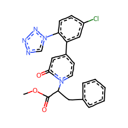 COC(=O)C(Cc1ccccc1)n1ccc(-c2cc(Cl)ccc2-n2cnnn2)cc1=O